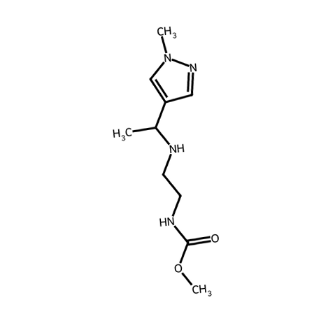 COC(=O)NCCNC(C)c1cnn(C)c1